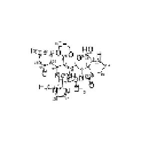 COC(=O)C1=C(CC2C3C(C(=O)O)NCCN3C(=O)N2C(C)C)NC(c2nccn2C)=NC1c1ccc(F)cc1Cl